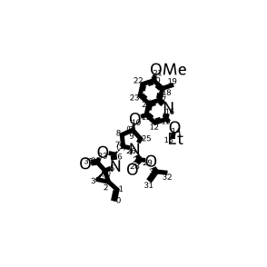 C=CC1C[C@@]12N=C([C@@H]1C[C@@H](Oc3cc(OCC)nc4c(C)c(OC)ccc34)CN1C(=O)OC(=C)C)OC2=O